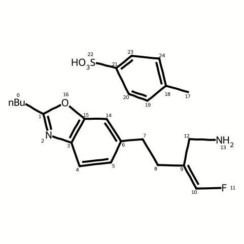 CCCCc1nc2ccc(CCC(=CF)CN)cc2o1.Cc1ccc(S(=O)(=O)O)cc1